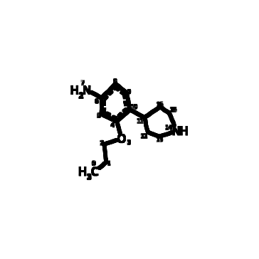 CCCOc1cc(N)ccc1C1CCNCC1